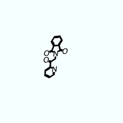 O=C(CN1C(=O)c2ccccc2C1=O)c1ccccn1